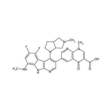 CNc1cc(F)c(F)c2c1[nH]c1ncc(-c3cnc4c(c3)c(=O)c(C(=O)O)cn4C)c(N3CCC4CN(C)CC43)c12